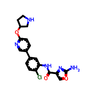 Nc1nc(C(=O)Nc2cc(-c3ccc(OC4CCNC4)nc3)ccc2Cl)co1